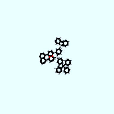 c1ccc(-c2cccc3cccc(-c4ccc(N(c5ccc(-n6c7ccccc7c7ccccc76)cc5)c5ccc6c(c5)-c5ccccc5C6(c5ccccc5)c5ccccc5)cc4)c23)cc1